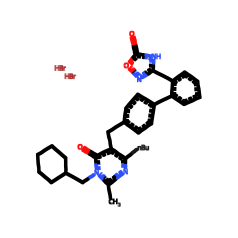 Br.Br.CCCCc1nc(C)n(CC2CCCCC2)c(=O)c1Cc1ccc(-c2ccccc2-c2noc(=O)[nH]2)cc1